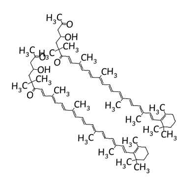 CC(=O)CC(O)CC(C)(C)C(=O)/C=C/C(C)=C/C=C/C(C)=C/C=C/C=C(C)/C=C/C=C(C)/C=C/C1=C(C)CCCC1(C)C.CC(=O)CC(O)CC(C)(C)C(=O)/C=C/C(C)=C/C=C/C(C)=C/C=C/C=C(C)/C=C/C=C(C)/C=C/C1=C(C)CCCC1(C)C